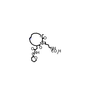 CN1CCCC/C=C/CCCC(CC(=O)NO[C@@H]2CCCCO2)C(=O)N[C@@H](CCCCNC(=O)O)C1=O